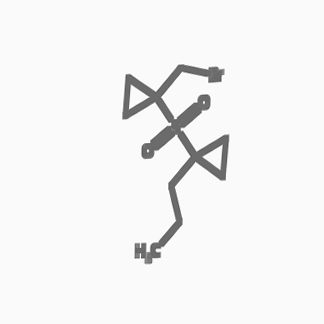 CCCC1(S(=O)(=O)C2(CBr)CC2)CC1